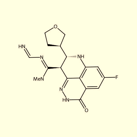 CN/C(=N\C=N)[C@@H]1c2n[nH]c(=O)c3cc(F)cc(c23)N[C@H]1[C@H]1CCOC1